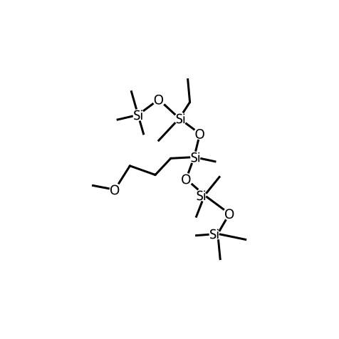 CC[Si](C)(O[Si](C)(C)C)O[Si](C)(CCCOC)O[Si](C)(C)O[Si](C)(C)C